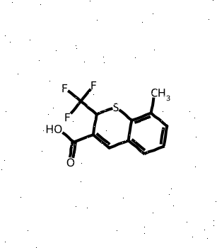 Cc1cccc2c1SC(C(F)(F)F)C(C(=O)O)=C2